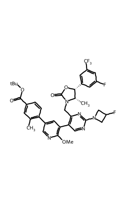 COc1ncc(-c2ccc(C(=O)OC(C)(C)C)cc2C)cc1-c1cnc(N2CC(F)C2)nc1CN1C(=O)O[C@H](c2cc(F)cc(C(F)(F)F)c2)[C@@H]1C